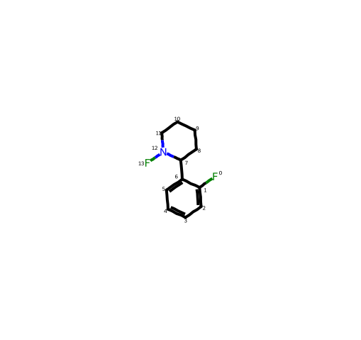 Fc1ccccc1C1CCCCN1F